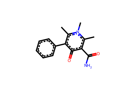 Cc1c(C(N)=O)c(=O)c(-c2ccccc2)c(C)n1C